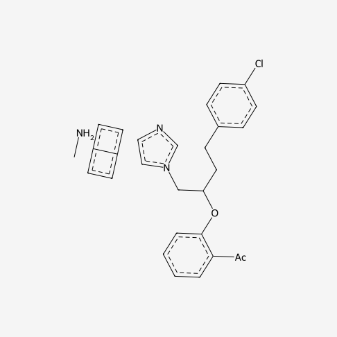 CC(=O)c1ccccc1OC(CCc1ccc(Cl)cc1)Cn1ccnc1.CN.c1cc2ccc1-2